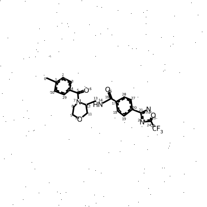 Cc1ccc(C(=O)N2CCOCC2CNC(=O)c2ccc(-c3noc(C(F)(F)F)n3)cc2)cc1